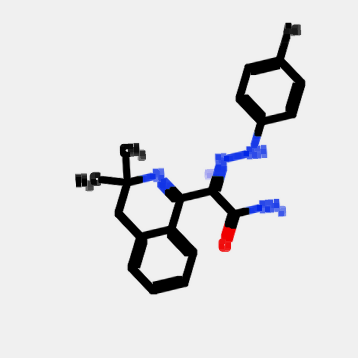 CC(=O)c1ccc(N/N=C(\C(N)=O)C2=NC(C)(C)Cc3ccccc32)cc1